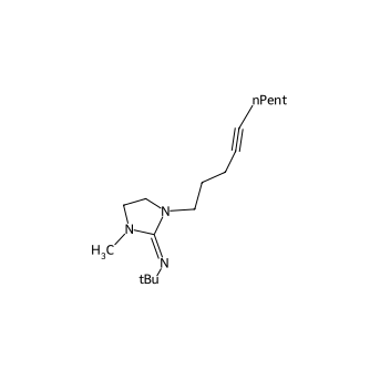 CCCCCC#CCCCN1CCN(C)C1=NC(C)(C)C